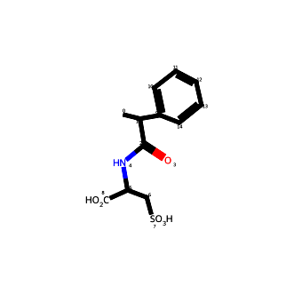 CC(C(=O)NC(CS(=O)(=O)O)C(=O)O)c1ccccc1